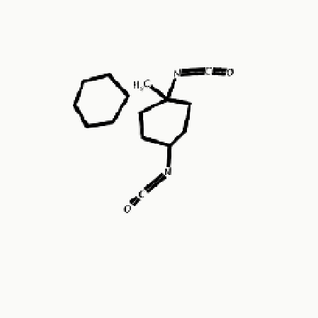 C1CCCCC1.CC1(N=C=O)CCC(N=C=O)CC1